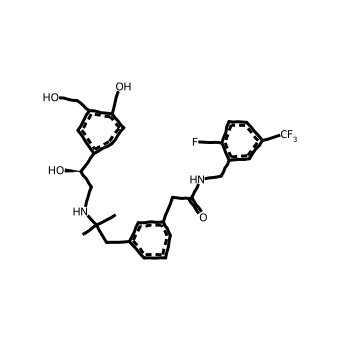 CC(C)(Cc1cccc(CC(=O)NCc2cc(C(F)(F)F)ccc2F)c1)NC[C@@H](O)c1ccc(O)c(CO)c1